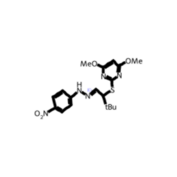 COc1cc(OC)nc(SC(/C=N/Nc2ccc([N+](=O)[O-])cc2)C(C)(C)C)n1